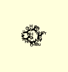 CCC(C)C1NC(=O)C(CC(C)C)NC(=O)C(C(C)C)NC(=O)C2CSSCC(NC1=O)C(=O)N2